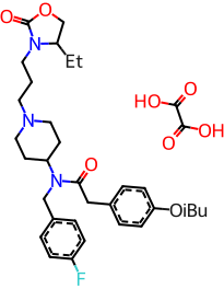 CCC1COC(=O)N1CCCN1CCC(N(Cc2ccc(F)cc2)C(=O)Cc2ccc(OCC(C)C)cc2)CC1.O=C(O)C(=O)O